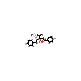 CCCCC(C)C(O)(CCc1ccccc1)CCc1ccccc1